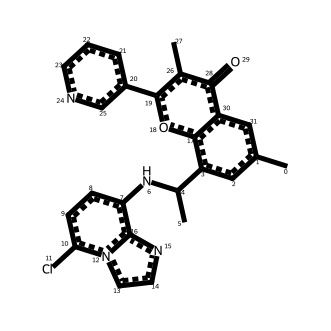 Cc1cc(C(C)Nc2ccc(Cl)n3ccnc23)c2oc(-c3cccnc3)c(C)c(=O)c2c1